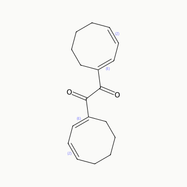 O=C(C(=O)/C1=C/C=C\CCCC1)/C1=C/C=C\CCCC1